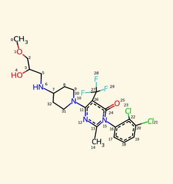 COCC(O)CNC1CCN(c2nc(C)n(-c3cccc(Cl)c3Cl)c(=O)c2C(F)(F)F)CC1